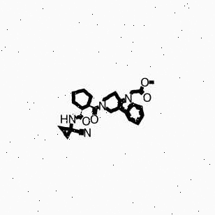 COC(=O)Cn1c2c(c3ccccc31)CN(C(=O)[C@@H]1CCCC[C@H]1C(=O)NC1(C#N)CC1)CC2